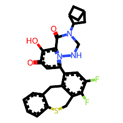 O=C1c2c(O)c(=O)cc(-c3cc(F)c(F)c4c3Cc3ccccc3SC4)n2NCN1C1CC2CC1C2